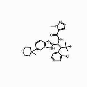 Cn1nccc1C(=O)NC(c1nc2ccc(C3(C)CCOCC3)cc2[nH]1)C(c1ccccc1Cl)C(C)(C)F